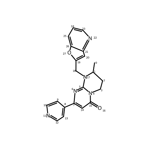 CC1CCn2c(nc(-c3ccncc3)cc2=O)N1Cc1cc2ncccc2o1